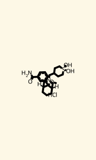 COC1(c2cccc(C(N)=O)c2)[C@@H]2CCC[C@H]1CN(CC1CCS(O)(O)CC1)C2.Cl